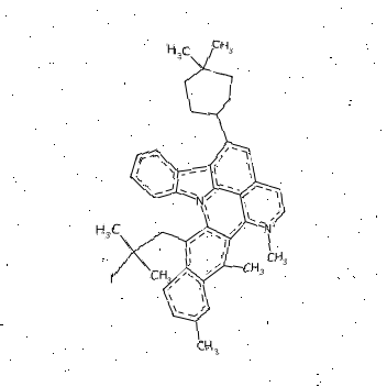 Cc1ccc2c(CC(C)(C)I)c3c(c(C)c2c1)c1c2c(cc[n+]1C)cc(C1CCC(C)(C)CC1)c1c4ccccc4n3c12